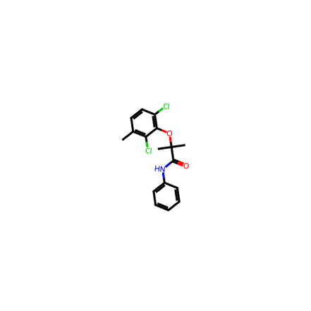 Cc1ccc(Cl)c(OC(C)(C)C(=O)Nc2ccccc2)c1Cl